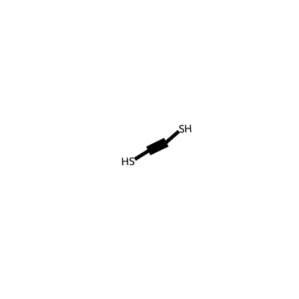 SC#CS